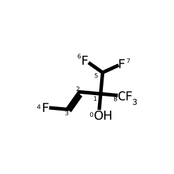 OC(C=CF)(C(F)F)C(F)(F)F